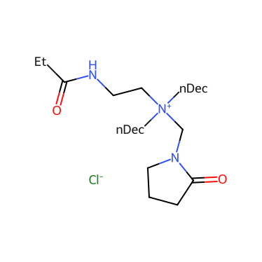 CCCCCCCCCC[N+](CCCCCCCCCC)(CCNC(=O)CC)CN1CCCC1=O.[Cl-]